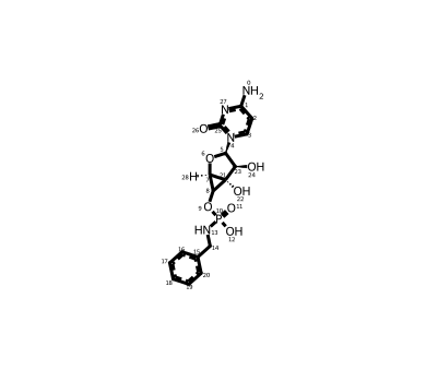 Nc1ccn([C@@H]2O[C@@H]3C(OP(=O)(O)NCc4ccccc4)[C@]3(O)[C@@H]2O)c(=O)n1